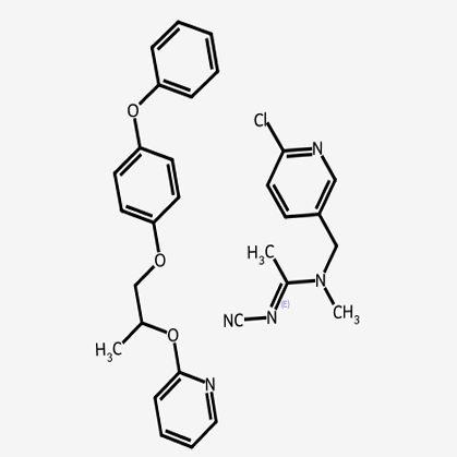 C/C(=N\C#N)N(C)Cc1ccc(Cl)nc1.CC(COc1ccc(Oc2ccccc2)cc1)Oc1ccccn1